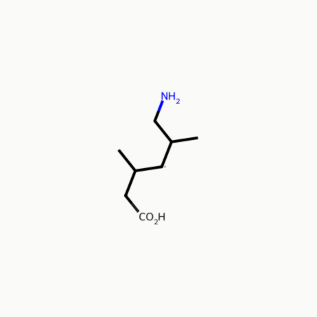 CC([CH]C(C)CC(=O)O)CN